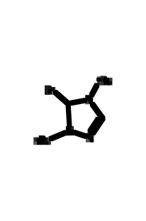 CCCCN1N=CN(C(C)(C)C)C1Br